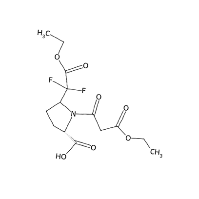 CCOC(=O)CC(=O)N1C(C(F)(F)C(=O)OCC)CC[C@H]1C(=O)O